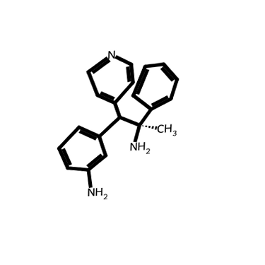 C[C@@](N)(c1ccccc1)C(c1ccncc1)c1cccc(N)c1